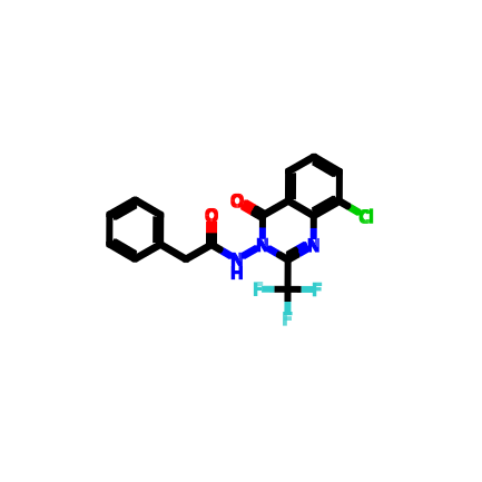 O=C(Cc1ccccc1)Nn1c(C(F)(F)F)nc2c(Cl)cccc2c1=O